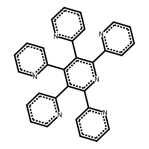 c1ccc(-c2nc(-c3ccccn3)c(-c3ccccn3)c(-c3ccccn3)c2-c2ccccn2)nc1